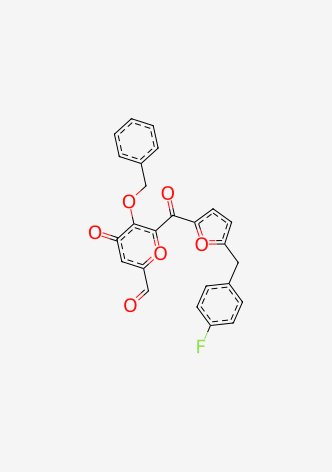 O=Cc1cc(=O)c(OCc2ccccc2)c(C(=O)c2ccc(Cc3ccc(F)cc3)o2)o1